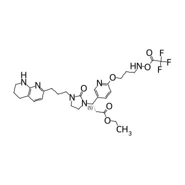 CCOC(=O)C[C@@H](c1ccc(OCCCNOC(=O)C(F)(F)F)nc1)N1CCN(CCCc2ccc3c(n2)NCCC3)C1=O